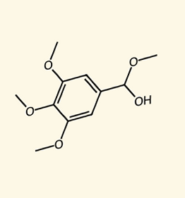 COc1cc(C(O)OC)cc(OC)c1OC